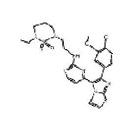 CCN1CCCN(CCNc2nccc(-c3c(-c4ccc(Cl)c(OC)c4)nc4sccn34)n2)S1(=O)=O